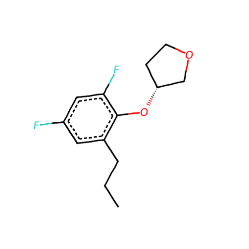 CCCc1cc(F)cc(F)c1O[C@@H]1CCOC1